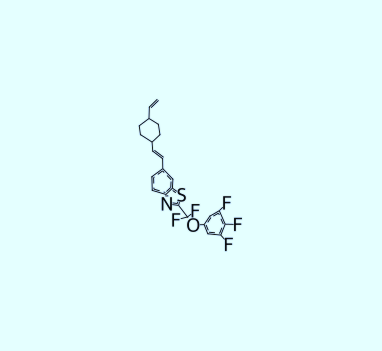 C=CC1CCC(/C=C/c2ccc3nc(C(F)(F)Oc4cc(F)c(F)c(F)c4)sc3c2)CC1